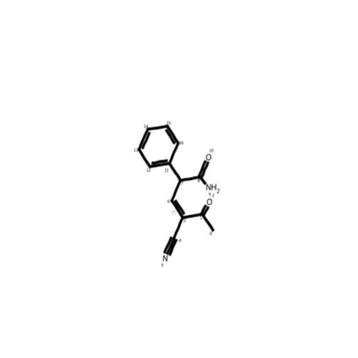 CC(=O)/C(C#N)=C\C(C(N)=O)c1ccccc1